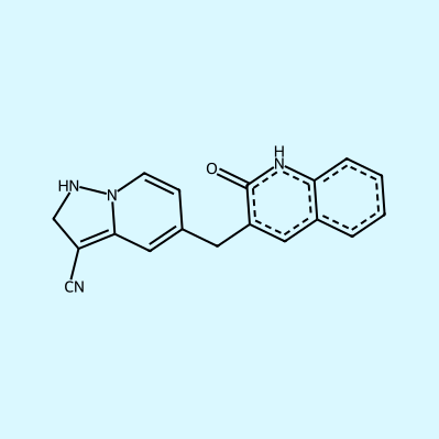 N#CC1=C2C=C(Cc3cc4ccccc4[nH]c3=O)C=CN2NC1